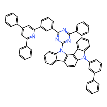 c1ccc(-c2cccc(-n3c4ccccc4c4c3ccc3c5ccccc5n(-c5nc(-c6ccccc6)nc(-c6cccc(-c7cc(-c8ccccc8)cc(-c8ccccc8)n7)c6)n5)c34)c2)cc1